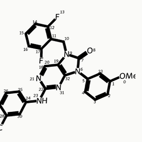 COc1cccc(-n2c(=O)n(Cc3c(F)cccc3F)c3cnc(Nc4cccc(C)c4)nc32)c1